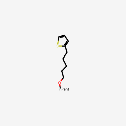 CCCCCOCCCCCc1cccs1